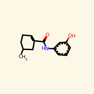 CC1CCC=C(C(=O)Nc2cccc(O)c2)C1